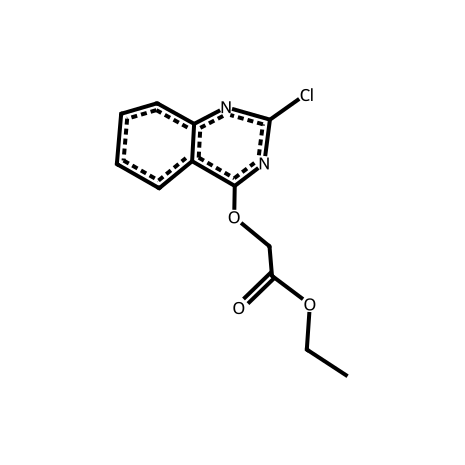 CCOC(=O)COc1nc(Cl)nc2ccccc12